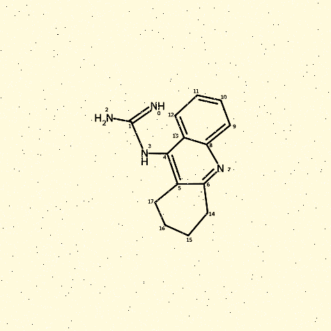 N=C(N)Nc1c2c(nc3ccccc13)CCCC2